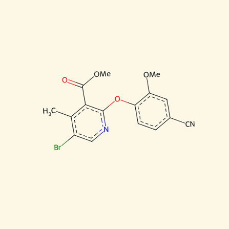 COC(=O)c1c(Oc2ccc(C#N)cc2OC)ncc(Br)c1C